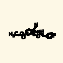 CCOC(=O)N1CCc2c(sc(NC(=O)C=Cc3ccc(F)cc3)c2C#N)C1